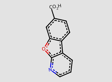 O=C(O)c1ccc2c(c1)oc1ncccc12